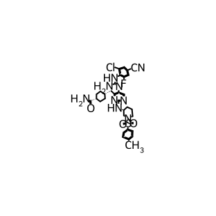 Cc1ccc(S(=O)(=O)N2CCC[C@@H](Nc3ncc(/N=C(\N)Nc4c(F)cc(C#N)cc4Cl)c(C[C@H]4CC[C@@H](C(N)=O)CC4)n3)C2)cc1